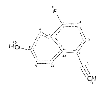 C#Cc1ccc(F)c2cc(O)ccc12